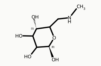 CNCC1O[C@@H](O)C(O)C(O)[C@@H]1O